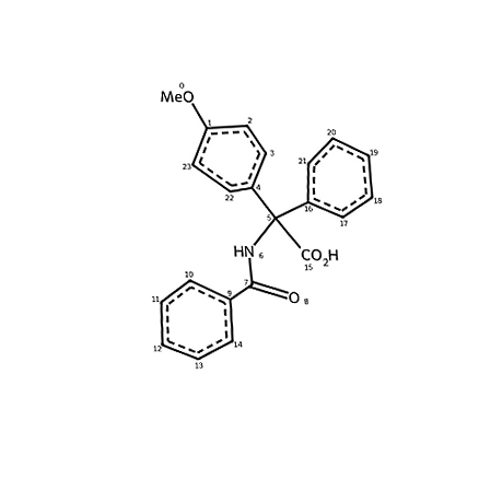 COc1ccc(C(NC(=O)c2ccccc2)(C(=O)O)c2ccccc2)cc1